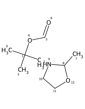 CC(C)(C)OC=O.CC1NCCO1